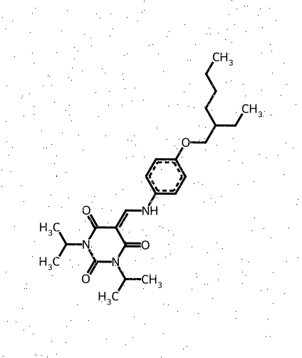 CCCCC(CC)COc1ccc(NC=C2C(=O)N(C(C)C)C(=O)N(C(C)C)C2=O)cc1